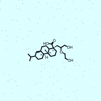 CC(C)C1C=C2CCC3[C@](CC(CO)OCCO)(C(=O)O)CCC[C@]3(C)[C@H]2CC1